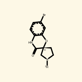 [2H]N1CC[C@]2(C1)Oc1cc(Br)ccc1NC2=O